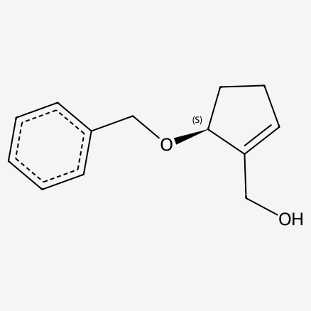 OCC1=CCC[C@@H]1OCc1ccccc1